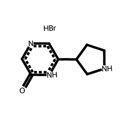 Br.O=c1cncc(C2CCNC2)[nH]1